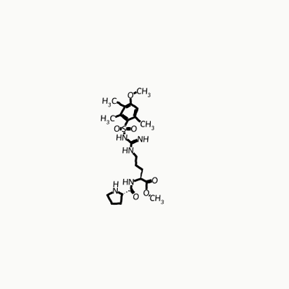 COC(=O)[C@H](CCCNC(=N)NS(=O)(=O)c1c(C)cc(OC)c(C)c1C)NC(=O)[C@@H]1CCCN1